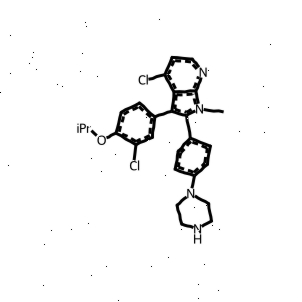 CC(C)Oc1ccc(-c2c(-c3ccc(N4CCNCC4)cc3)n(C)c3nccc(Cl)c23)cc1Cl